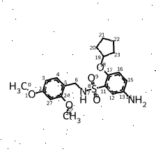 COc1ccc(CNS(=O)(=O)c2cc(N)ccc2OC2CCCC2)c(OC)c1